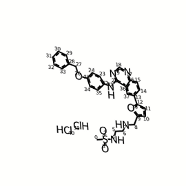 CS(=O)(=O)NCCNCc1ccc(-c2ccc3ncnc(Nc4ccc(OCc5ccccc5)cc4)c3c2)o1.Cl.Cl